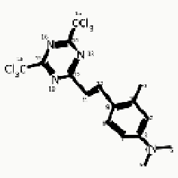 Cc1cc(N(C)C)ccc1C=Cc1nc(C(Cl)(Cl)Cl)nc(C(Cl)(Cl)Cl)n1